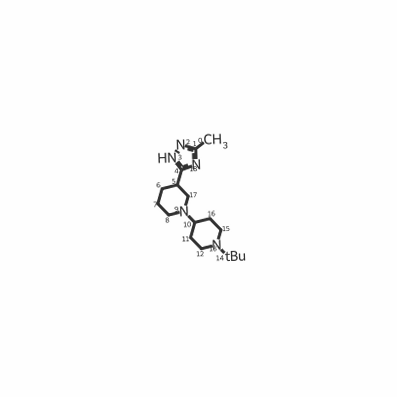 Cc1n[nH]c(C2CCCN(C3CCN(C(C)(C)C)CC3)C2)n1